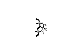 C=C[Si](C)(C)C=C([Si](C)(C)C=C)P(=O)(O)O